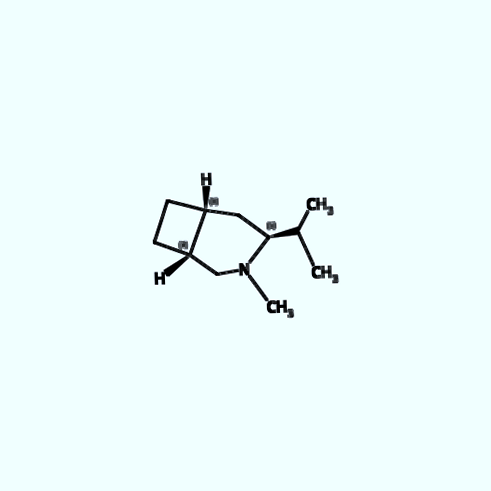 CC(C)[C@@H]1C[C@H]2CC[C@H]2CN1C